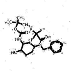 CC(C)(C)OC(=O)NC1CC(N(Cc2ccccc2)C(=O)C(F)(F)F)CCC1O